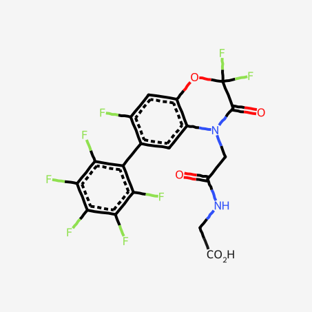 O=C(O)CNC(=O)CN1C(=O)C(F)(F)Oc2cc(F)c(-c3c(F)c(F)c(F)c(F)c3F)cc21